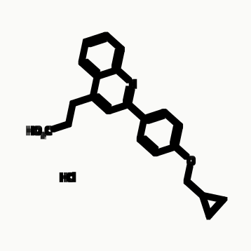 Cl.O=C(O)CCc1cc(-c2ccc(OCC3CC3)cc2)nc2ccccc12